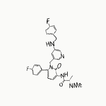 CN[C@@H](C)C(=O)Nc1ccc(-c2ccc(F)cc2)n(Cc2cncc(NCc3ccc(F)cc3)c2)c1=O